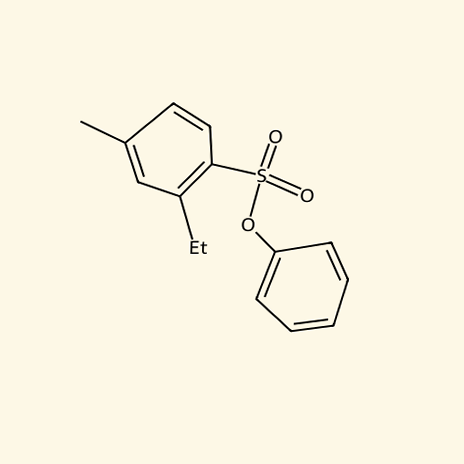 CCc1cc(C)ccc1S(=O)(=O)Oc1ccccc1